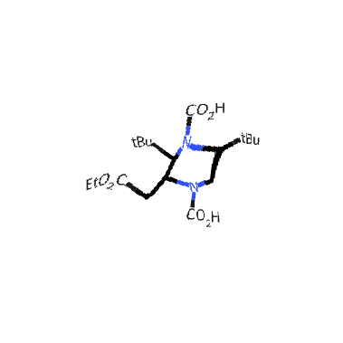 CCOC(=O)CC1C(C(C)(C)C)N(C(=O)O)C(C(C)(C)C)CN1C(=O)O